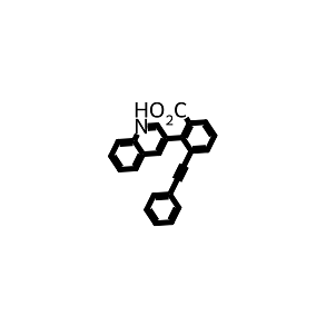 O=C(O)c1cccc(C#Cc2ccccc2)c1-c1cnc2ccccc2c1